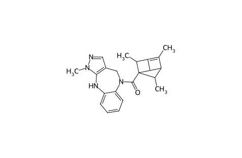 CC1=C2C(C)C3(C(=O)N4Cc5cnn(C)c5Nc5ccccc54)C(C)C1C23